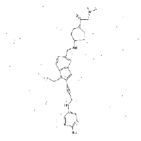 CN(C)CC(=O)N1CCC(NCc2ccc3c(c2)cc(C#CCNc2cnc(C(C)(C)C)nc2)n3CC(F)(F)F)CC1